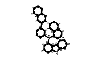 c1cc(-c2ccc3ccccc3c2)cc(N(c2cccc3ccccc23)c2cccc3oc4ccccc4c23)c1